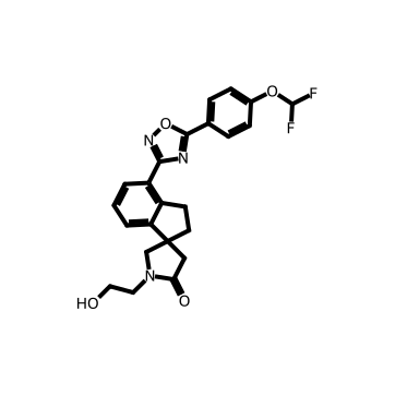 O=C1CC2(CCc3c(-c4noc(-c5ccc(OC(F)F)cc5)n4)cccc32)CN1CCO